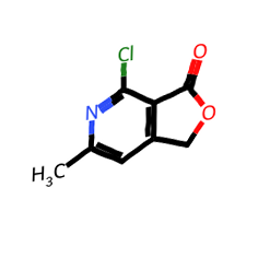 Cc1cc2c(c(Cl)n1)C(=O)OC2